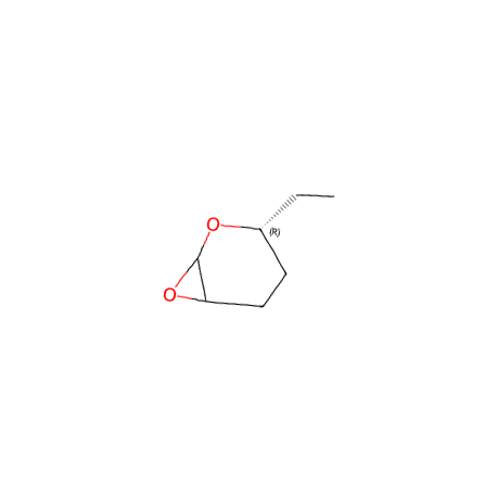 CC[C@@H]1CCC2OC2O1